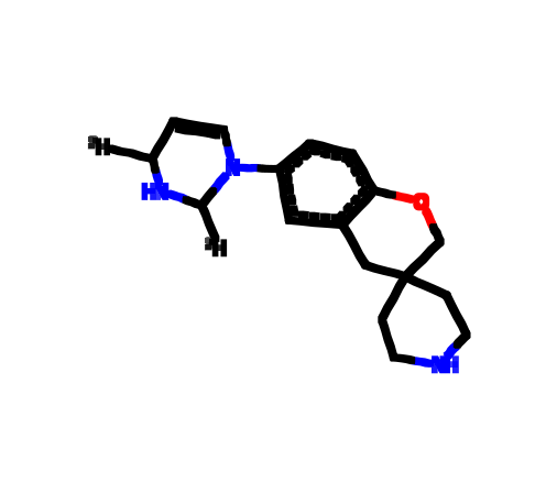 [2H]C1C=CN(c2ccc3c(c2)CC2(CCNCC2)CO3)C([2H])N1